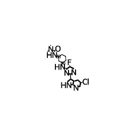 CN(C)C(=O)N[C@H]1CCC[C@@H](Nc2nc(-c3c[nH]c4ncc(Cl)cc34)ncc2F)C1